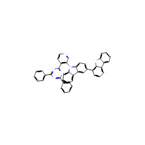 c1ccc(-c2nc(-c3ccccc3)nc(-c3ccncc3-n3c4ccccc4c4cc(-c5cccc6c5oc5ccccc56)ccc43)n2)cc1